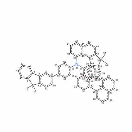 CC1(C)c2ccccc2-c2cc(-c3ccc(N(c4ccc(-c5cccc6cccc(-c7ccccc7)c56)cc4)c4cccc5ccc6c(c45)-c4ccccc4C6(C)C)cc3)ccc21